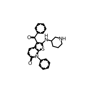 O=C(c1ccccc1)c1c(NC2CCCNC2)sc2c1ccc(=O)n2-c1ccccc1